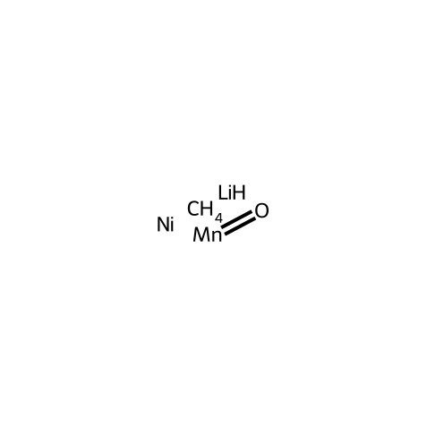 C.[LiH].[Ni].[O]=[Mn]